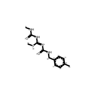 CNC(=O)NC(=NC(=O)NCc1ccc(C)cc1)SC